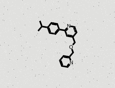 CC(C)c1ccc(-c2cc(COCc3ccccn3)ccn2)cc1